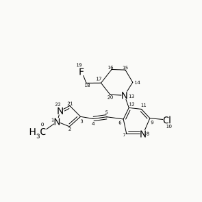 Cn1cc(C#Cc2cnc(Cl)cc2N2CCCC(CF)C2)cn1